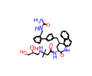 CC(C)(CC(=O)N[C@@H]1CC(Cc2ccc(-c3ccccc3CNC(N)=O)cc2)c2c(ccc3ccccc23)NC1=O)NC[C@H](O)CO